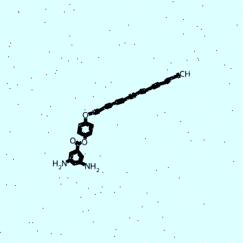 C#CC#CC#CC#CC#CC#CC#CC#COc1ccc(OC(=O)c2cc(N)cc(N)c2)cc1